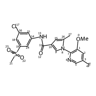 COc1cc(F)cnc1-n1cc(C(=O)Nc2cc(Cl)cc(S(C)(=O)=O)c2)cc1C